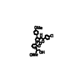 COCC(CO)n1cccc(N2C[C@@H](c3ccc(OC)cc3)[C@H](NC(=O)c3ccc(Cl)cc3)C2=O)c1=O